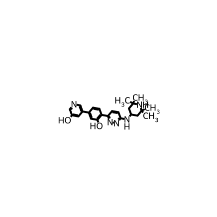 CC1(C)CC(Nc2ccc(-c3ccc(-c4cncc(O)c4)cc3O)nn2)CC(C)(C)N1